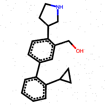 OCc1cc(-c2ccccc2C2CC2)ccc1C1CCNC1